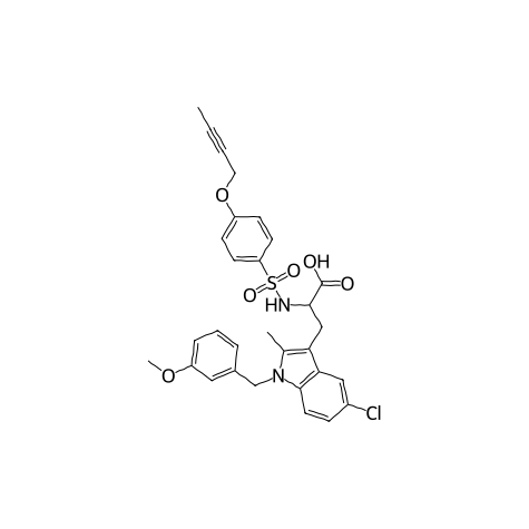 CC#CCOc1ccc(S(=O)(=O)NC(Cc2c(C)n(Cc3cccc(OC)c3)c3ccc(Cl)cc23)C(=O)O)cc1